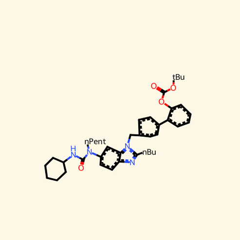 CCCCCN(C(=O)NC1CCCCC1)c1ccc2nc(CCCC)n(Cc3ccc(-c4ccccc4OC(=O)OC(C)(C)C)cc3)c2c1